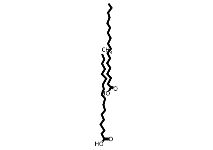 C.CCCCCCCCCCCCCCCCCC(=O)O.CCCCCCCCCCCCCCCCCC(=O)O